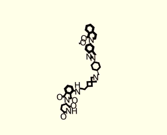 COc1cc2nn([C@H]3CC[C@H](CN4CC5(CC(CCNc6cccc7c6C(=O)N(C6CCC(=O)NC6=O)C7=O)C5)C4)CC3)cc2cc1-n1ccc2ccccc2c1=O